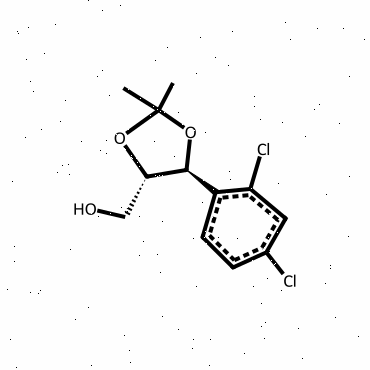 CC1(C)O[C@@H](CO)[C@H](c2ccc(Cl)cc2Cl)O1